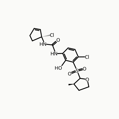 C[C@@H]1CCOC1S(=O)(=O)c1c(Cl)ccc(NC(=O)N[C@]2(Cl)C=CCC2)c1O